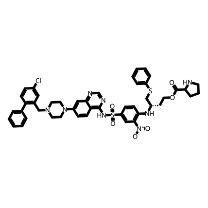 O=C(OCC[C@@H](CSc1ccccc1)Nc1ccc(S(=O)(=O)Nc2ncnc3cc(N4CCN(Cc5cc(Cl)ccc5-c5ccccc5)CC4)ccc23)cc1[N+](=O)[O-])C1CCCN1